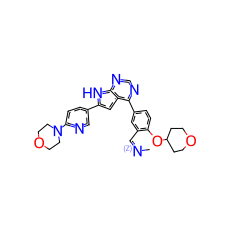 C/N=C\c1cc(-c2ncnc3[nH]c(-c4ccc(N5CCOCC5)nc4)cc23)ccc1OC1CCOCC1